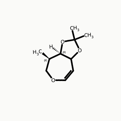 C[C@@H]1COC=CC2OC(C)(C)O[C@@H]21